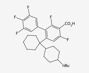 CCCCC1CCC(C2(c3cc(F)c(C(=O)O)c(F)c3-c3cc(F)c(F)c(F)c3)CCCCC2)CC1